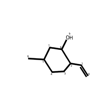 C=CC1CCC(C)CC1O